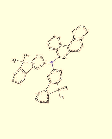 CC1(C)c2ccccc2-c2cc(N(c3ccc4c(c3)-c3ccccc3C4(C)C)c3cc4ccc5ccccc5c4c4ccccc34)ccc21